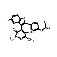 Cc1nn(C)c(=O)c(-c2c(-c3ccc(OC(F)F)cc3)sc3ccc(F)cc23)c1O